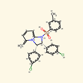 C=C1C=CC=C2N1[C@@H](c1ccc(Cl)cc1)[C@@H](c1ccc(Cl)cc1)N2S(=O)(=O)c1cccc(C)c1